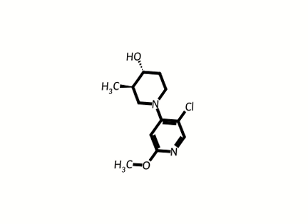 COc1cc(N2CC[C@@H](O)[C@H](C)C2)c(Cl)cn1